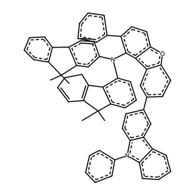 CC1(C)C2=C(CCC=C2)c2c(N(c3c#cc4c(c3)C(C)(C)c3ccccc3-4)c3c(-c4ccccc4)ccc4oc5ccc(-c6ccc7c(c6)c6ccccc6n7-c6ccccc6)cc5c34)cccc21